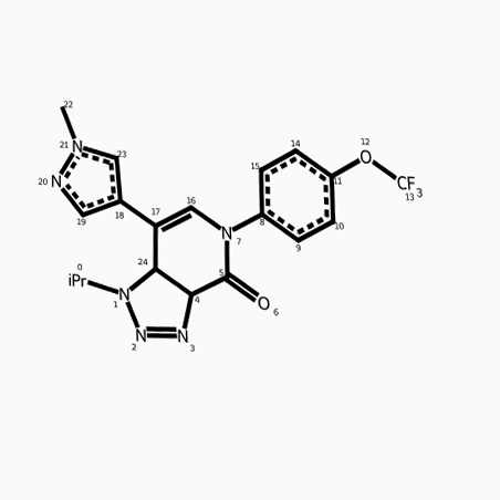 CC(C)N1N=NC2C(=O)N(c3ccc(OC(F)(F)F)cc3)C=C(c3cnn(C)c3)C21